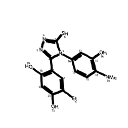 CCc1cc(-c2nnc(S)n2-c2ccc(NC)c(O)c2)c(O)cc1O